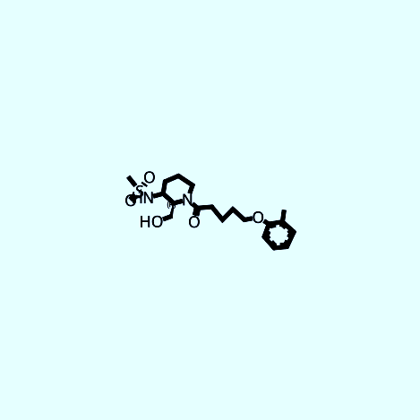 Cc1ccccc1OCCCCC(=O)N1CCCC(NS(C)(=O)=O)[C@@H]1CO